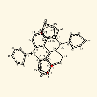 C1=C2OCOC2=C(c2c(P(c3ccccc3)c3ccccc3)ccc3c2OCO3)C(P(c2ccccc2)c2ccccc2)C1